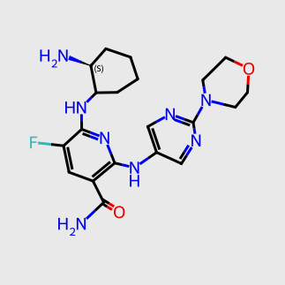 NC(=O)c1cc(F)c(NC2CCCC[C@@H]2N)nc1Nc1cnc(N2CCOCC2)nc1